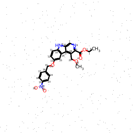 CCOC(=O)c1ncc2[nH]c3ccc(OCc4ccc([N+](=O)[O-])cc4)cc3c2c1COC